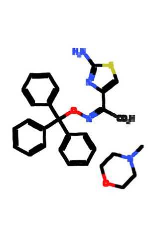 CN1CCOCC1.Nc1nc(C(=NOC(c2ccccc2)(c2ccccc2)c2ccccc2)C(=O)O)cs1